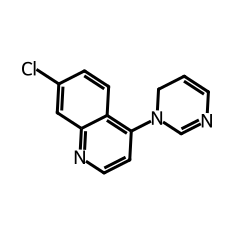 Clc1ccc2c(N3C=NC=CC3)ccnc2c1